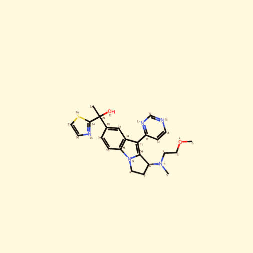 COCCN(C)[C@H]1CCn2c1c(-c1ccncn1)c1cc(C(C)(O)c3nccs3)ccc12